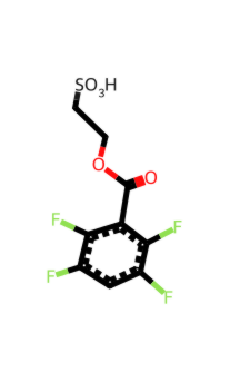 O=C(OCCS(=O)(=O)O)c1c(F)c(F)cc(F)c1F